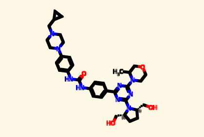 CC1COCCN1c1nc(-c2ccc(NC(=O)Nc3ccc(N4CCN(CC5CC5)CC4)cc3)cc2)nc(N2[C@H](CO)CC[C@@H]2CO)n1